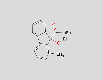 CCCCC(=O)C1(OCC)c2ccccc2-c2cccc(C)c21